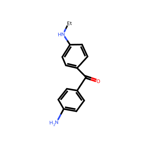 CCNc1ccc(C(=O)c2ccc(N)cc2)cc1